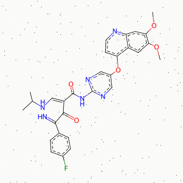 COc1cc2nccc(Oc3cnc(NC(=O)/C(=C/NC(C)C)C(=O)C(=N)c4ccc(F)cc4)nc3)c2cc1OC